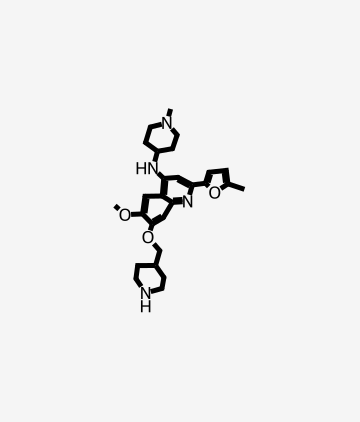 COc1cc2c(NC3CCN(C)CC3)cc(-c3ccc(C)o3)nc2cc1OCC1CCNCC1